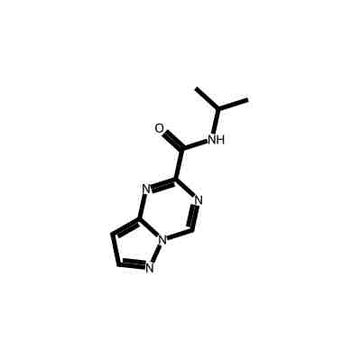 CC(C)NC(=O)c1ncn2nccc2n1